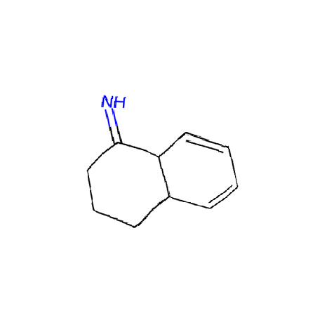 N=C1CCCC2C=CC=CC12